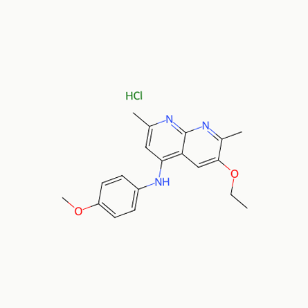 CCOc1cc2c(Nc3ccc(OC)cc3)cc(C)nc2nc1C.Cl